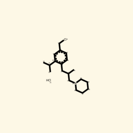 CC(Cc1ccc(CCl)cc1C(C)C)CN1CCCCC1.Cl